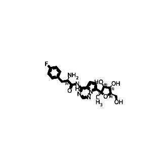 C[C@@]1(c2ccc3c(NC(=O)[C@@H](N)Cc4ccc(F)cc4)ncnn23)O[C@H](CO)[C@@H](O)[C@H]1O